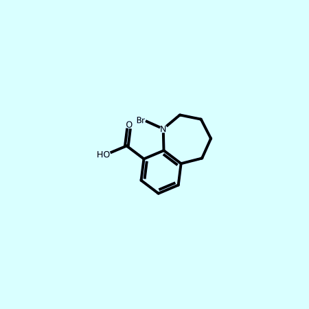 O=C(O)c1cccc2c1N(Br)CCCC2